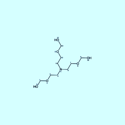 OCOCCN(CCOCO)CCOCO